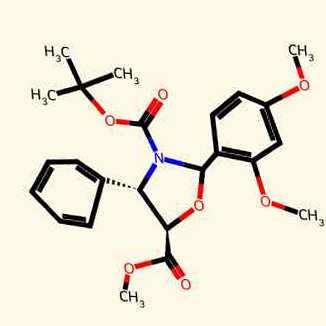 COC(=O)[C@@H]1OC(c2ccc(OC)cc2OC)N(C(=O)OC(C)(C)C)[C@H]1c1ccccc1